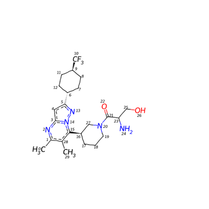 Cc1nc2cc([C@H]3CC[C@H](C(F)(F)F)CC3)nn2c([C@@H]2CCCN(C(=O)C(N)CO)C2)c1C